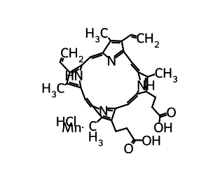 C=CC1=C(C)c2cc3[nH]c(cc4nc(cc5[nH]c(cc1n2)c(C)c5CCC(=O)O)C(CCC(=O)O)=C4C)c(C)c3C=C.Cl.[Mn]